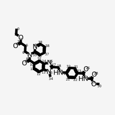 CCOC(=O)CCN(C(=O)c1ccc2c(c1)nc(CNc1ccc(C(=O)NC(=O)OC)cc1)n2C)c1ccccn1